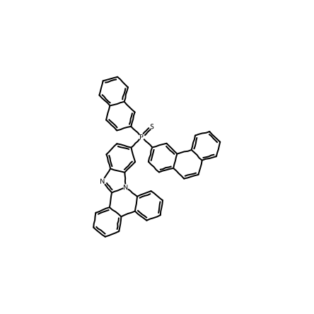 S=P(c1ccc2ccccc2c1)(c1ccc2ccc3ccccc3c2c1)c1ccc2nc3c4ccccc4c4ccccc4n3c2c1